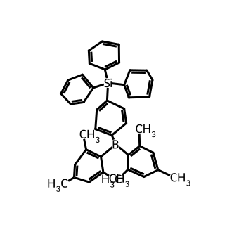 Cc1cc(C)c(B(c2ccc([Si](c3ccccc3)(c3ccccc3)c3ccccc3)cc2)c2c(C)cc(C)cc2C)c(C)c1